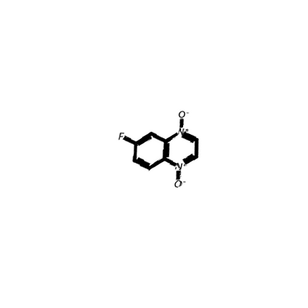 [O-][n+]1cc[n+]([O-])c2cc(F)ccc21